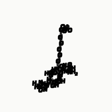 Nc1nc2c(ncn2[C@@H]2O[C@@H]3COP(=O)(O)OC4C(NC(=O)CCOCCOCCOCCOCCOCCC(=O)ON5C(=O)C=CC5=O)[C@H](n5cnc6c(=O)[nH]c(N)nc65)O[C@@H]4COP(=O)(O)OC3C2O)c(=O)[nH]1